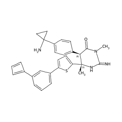 CN1C(=N)N[C@](C)(c2ccc(-c3cccc(C4=CC=C4)c3)s2)[C@@H](c2ccc(C3(N)CC3)cc2)C1=O